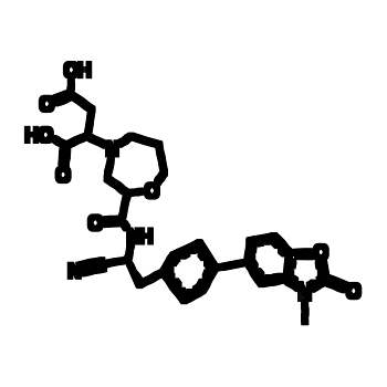 Cn1c(=O)oc2ccc(-c3ccc(C[C@@H](C#N)NC(=O)C4CN(C(CC(=O)O)C(=O)O)CCCO4)cc3)cc21